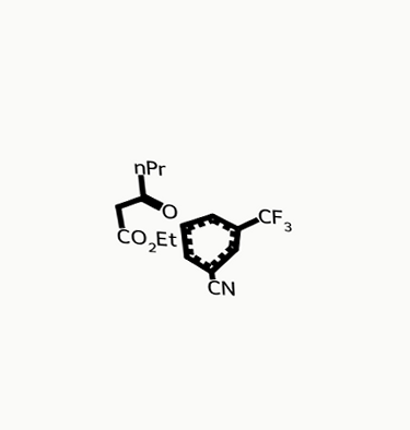 CCCC(=O)CC(=O)OCC.N#Cc1cccc(C(F)(F)F)c1